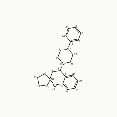 c1ccc(N2CCN(C3CC4(CCCC4)Oc4ccccc43)CC2)cc1